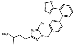 CCC(C)c1nc(CCC(C)C(=O)O)nn1Cc1ccc(-c2ccccc2-c2nnn[nH]2)cc1